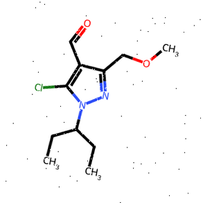 CCC(CC)n1nc(COC)c(C=O)c1Cl